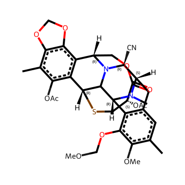 COCOc1c(OC)c(C)cc2c1[C@@H]1C3[C@@H]4SC[C@@H](OC(C)=O)C(=O)OC[C@@H](c5c6c(c(C)c(OC(C)=O)c54)OCO6)N3[C@@H](C#N)[C@H](C2)N1C